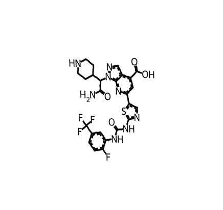 NC(=O)C(C1CCNCC1)n1ncc2c(C(=O)O)cc(-c3cnc(NC(=O)Nc4cc(C(F)(F)F)ccc4F)s3)nc21